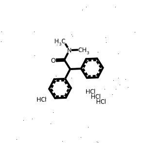 CN(C)C(=O)C(c1ccccc1)c1ccccc1.Cl.Cl.Cl.Cl